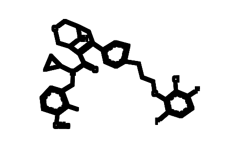 COc1cccc(CN(C(=O)C2=C(c3ccc(CCCOc4c(F)ccc(F)c4Cl)cc3)CC3COCC2N3)C2CC2)c1C